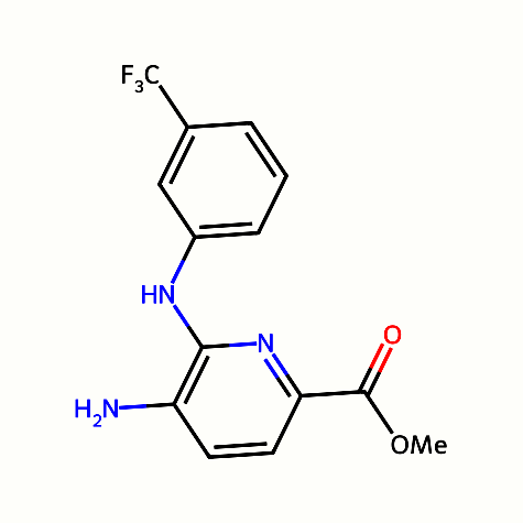 COC(=O)c1ccc(N)c(Nc2cccc(C(F)(F)F)c2)n1